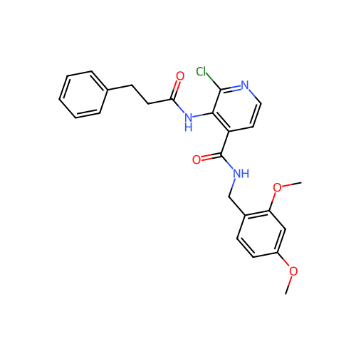 COc1ccc(CNC(=O)c2ccnc(Cl)c2NC(=O)CCc2ccccc2)c(OC)c1